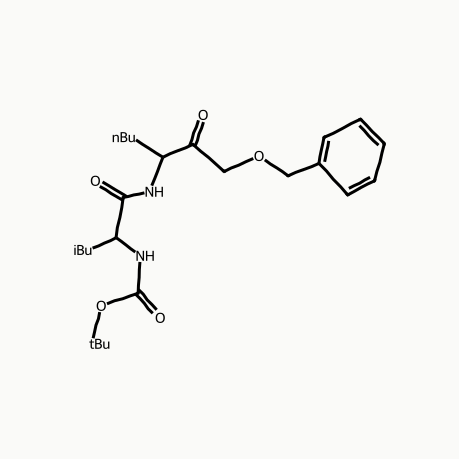 CCCCC(NC(=O)C(NC(=O)OC(C)(C)C)C(C)CC)C(=O)COCc1ccccc1